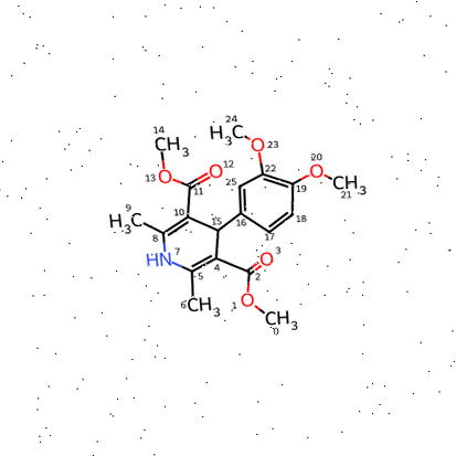 COC(=O)C1=C(C)NC(C)=C(C(=O)OC)C1c1ccc(OC)c(OC)c1